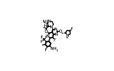 CC[C@@H]1NCCN2c3nc(OC[C@@H]4C[C@@H](F)CN4C)nc4c(F)c(-c5cc(N)c(F)c(C)c5C(F)(F)F)nc(c34)O[C@@H](C)[C@H]12